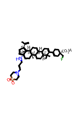 C=C(C)[C@@H]1CC[C@]2(NCCCN3CCS(=O)(=O)CC3)CC[C@]3(C)[C@H](CC[C@@H]4[C@@]5(C)CC=C(C6=CC[C@@](CF)(C(=O)O)CC6)C(C)(C)[C@@H]5CC[C@]43C)[C@@H]12